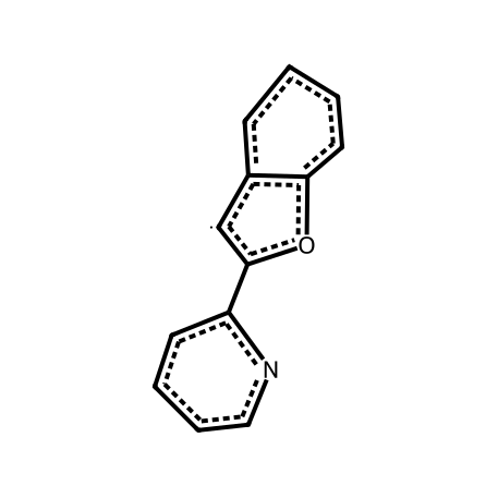 [c]1c(-c2ccccn2)oc2ccccc12